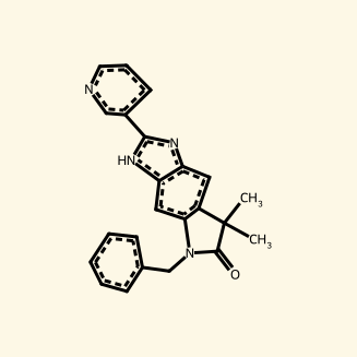 CC1(C)C(=O)N(Cc2ccccc2)c2cc3[nH]c(-c4cccnc4)nc3cc21